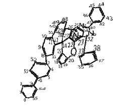 c1ccc(-c2ccc(-c3ccc4c(c3)C3(c5ccccc5Oc5ccccc53)c3c(-c5nc(-c6ccccc6)nc(-c6ccccc6)n5)cccc3-4)cc2)cc1